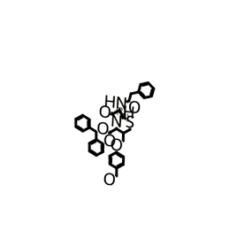 O=Cc1ccc(OCC2CS[C@@H]3[C@H](NC(=O)Cc4ccccc4)C(=O)N3C2C(=O)OC(c2ccccc2)c2ccccc2)cc1